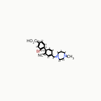 CN1CCCN(Cc2ccc(-c3ccc(C(=O)O)cc3Br)c(C#N)c2)CC1